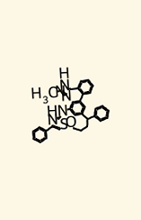 Cn1nc(-c2ccccc2-c2cc(Nc3nc(-c4ccccc4)cs3)c3c(c2)C(c2ccccc2)CCCO3)[nH]1